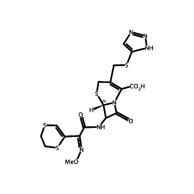 CON=C(C(=O)NC1C(=O)N2C(C(=O)O)=C(CSc3cnn[nH]3)CS[C@@H]12)C1=CSCCS1